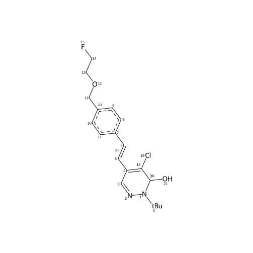 CC(C)(C)N1N=CC(/C=C/c2ccc(COCCF)cc2)=C(Cl)C1O